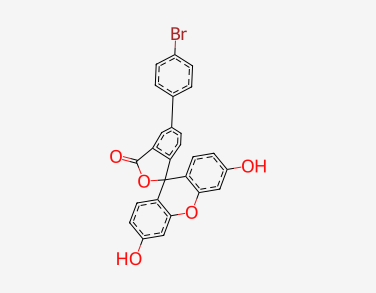 O=C1OC2(c3ccc(O)cc3Oc3cc(O)ccc32)c2ccc(-c3ccc(Br)cc3)cc21